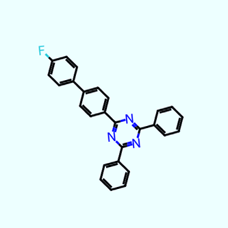 Fc1ccc(-c2ccc(-c3nc(-c4ccccc4)nc(-c4ccccc4)n3)cc2)cc1